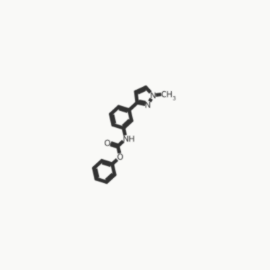 Cn1ccc(-c2cccc(NC(=O)Oc3ccccc3)c2)n1